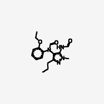 CCCc1nn(C)c(NC=O)c1N(C=O)c1ccccc1OCC